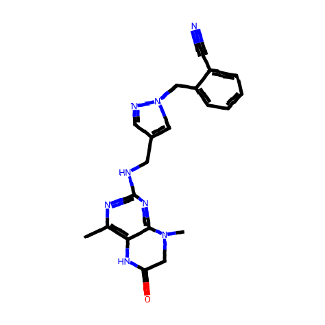 Cc1nc(NCc2cnn(Cc3ccccc3C#N)c2)nc2c1NC(=O)CN2C